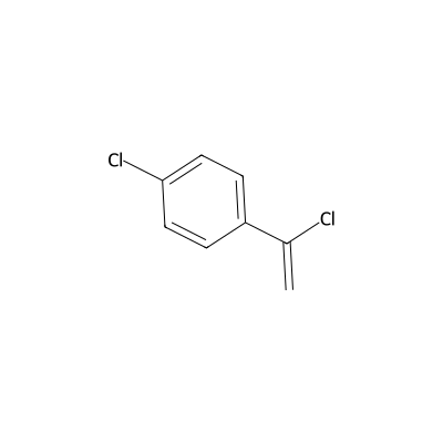 C=C(Cl)c1ccc(Cl)cc1